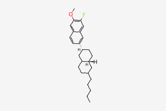 CCCCCC1CCC2C[C@H](c3ccc4cc(OC)c(F)cc4c3)CC[C@@H]2C1